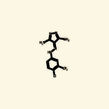 NC1=NN=C(N)C1=NNc1ccc(Cl)c(C(F)(F)F)c1